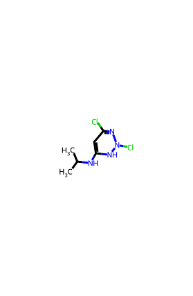 CC(C)NC1=CC(Cl)=NN(Cl)N1